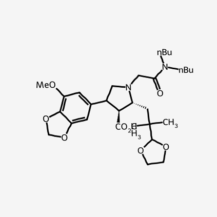 CCCCN(CCCC)C(=O)CN1CC(c2cc(OC)c3c(c2)OCO3)[C@H](C(=O)O)[C@H]1CC(C)(C)C1OCCO1